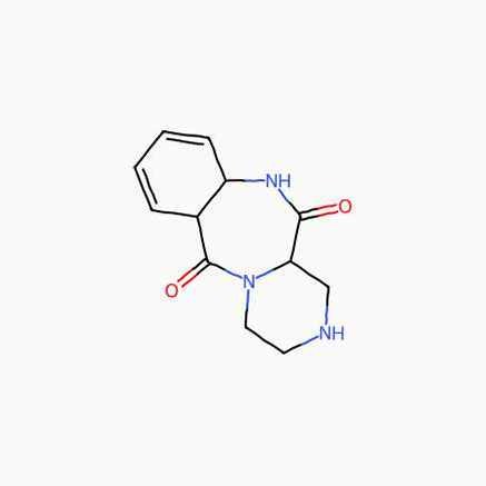 O=C1NC2C=CC=CC2C(=O)N2CCNCC12